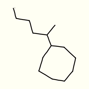 [CH2]CCCC(C)C1CCCCCCC1